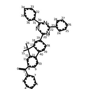 C=C(c1ccccc1)c1ccc2c(c1)C(C)(C)c1cc(-c3nc(-c4ccccc4)nc(-c4ccccc4)n3)ccc1-2